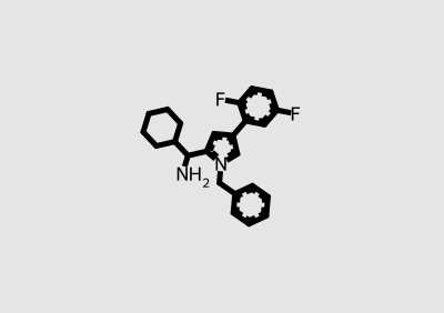 NC(c1cc(-c2cc(F)ccc2F)cn1Cc1ccccc1)C1CCCCC1